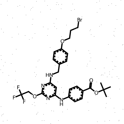 CC(C)(C)OC(=O)c1ccc(Nc2cc(NCc3ccc(OCCCBr)cc3)nc(OCC(F)(F)F)n2)cc1